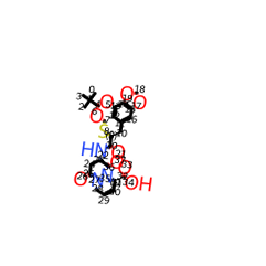 CC(C)(C)C(=O)OCS[C@@H](Cc1ccc2c(c1)OCO2)C(=O)NC1CC(=O)N2CC=C[C@@H](C(=O)O)N2C1=O